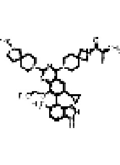 C=C(F)C(=O)N1CC2(CCN(c3nc(N4CCC5(CCN(CCC)C5)CC4)nc4c(OCC(F)(F)F)c(-c5c(C)ccc6[nH]ncc56)c(C5CC5)cc34)CC2)C1